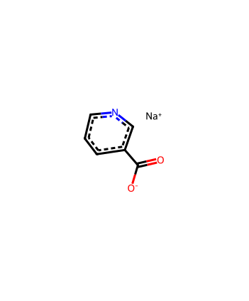 O=C([O-])c1cccnc1.[Na+]